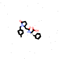 Cc1ccc(CN2C(=O)CCC2CC(=O)N[C@@H](Cc2ccccc2)C(=O)O)cc1